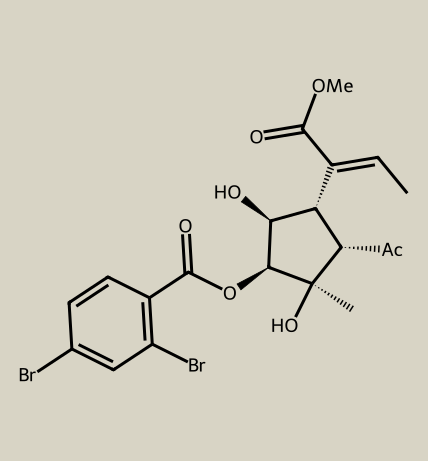 C/C=C(/C(=O)OC)[C@H]1[C@H](O)[C@H](OC(=O)c2ccc(Br)cc2Br)[C@](C)(O)[C@H]1C(C)=O